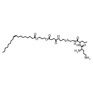 CCCCCCCC/C=C\CCCCCCCC(=O)OCCCOC(=O)CCC(=O)NCCSSCCNC(=O)C(CCC)NC(=O)C(N)CCCN